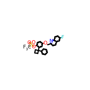 O=S(=O)(Oc1ccc(OCc2ccc3cc(F)ccc3n2)cc1C1(c2ccccc2)CCC1)C(F)(F)F